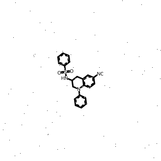 [C-]#[N+]c1ccc2c(c1)CC(NS(=O)(=O)c1ccccc1)CN2c1ccccc1